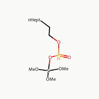 CCCCCCCCCO[PH](=O)O[Si](OC)(OC)OC